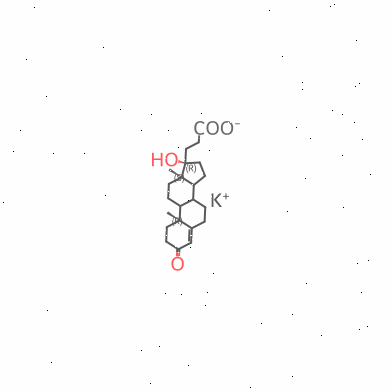 C[C@]12CCC(=O)C=C1CCC1C2CC[C@@]2(C)C1CC[C@@]2(O)CCC(=O)[O-].[K+]